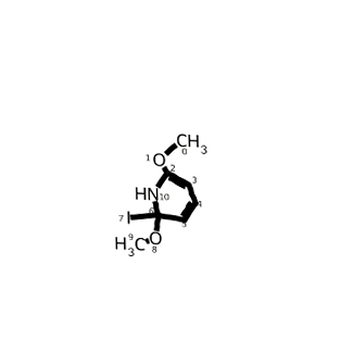 COC1=CC=CC(I)(OC)N1